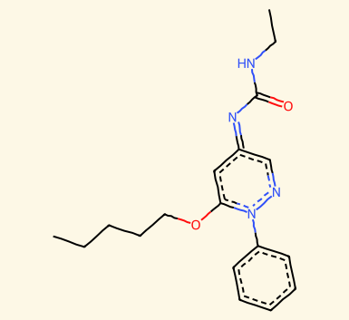 CCCCCOc1cc(=NC(=O)NCC)cnn1-c1ccccc1